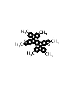 Cc1ccc(C2(c3ccc(C)cc3)c3cc4c(cc3-c3cc5cc(C)sc5cc32)C(c2ccc(C)cc2)(c2ccc(C)cc2)c2cc3sc(C)cc3cc2-4)cc1